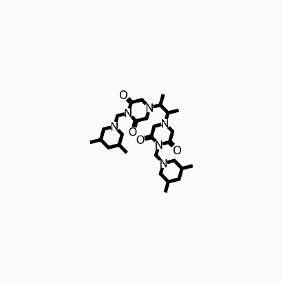 CC1CC(C)CN(CN2C(=O)CN(C(C)C(C)N3CC(=O)N(CN4CC(C)CC(C)C4)C(=O)C3)CC2=O)C1